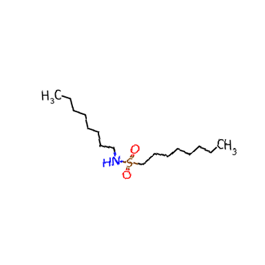 CCCCCCCCNS(=O)(=O)CCCCCCCC